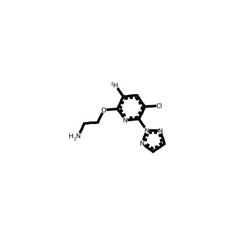 [2H]c1cc(Cl)c(-n2nccn2)nc1OCCN